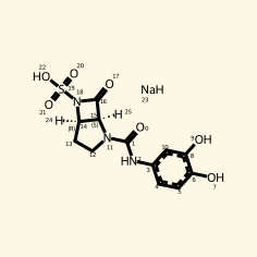 O=C(Nc1ccc(O)c(O)c1)N1CC[C@@H]2[C@H]1C(=O)N2S(=O)(=O)O.[NaH]